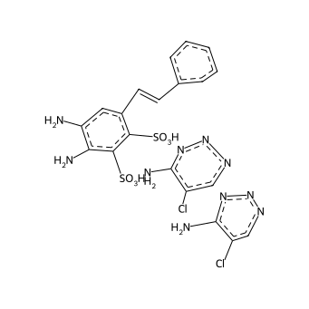 Nc1cc(C=Cc2ccccc2)c(S(=O)(=O)O)c(S(=O)(=O)O)c1N.Nc1nnncc1Cl.Nc1nnncc1Cl